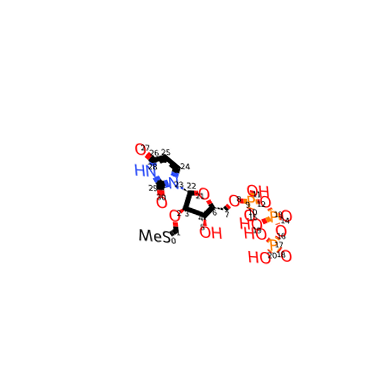 CSCO[C@@H]1[C@H](O)[C@@H](COP(=O)(O)OP(=O)(O)OP(=O)(O)O)O[C@H]1n1ccc(=O)[nH]c1=O